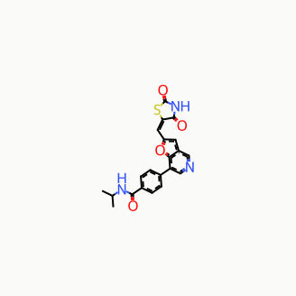 CC(C)NC(=O)c1ccc(-c2cncc3cc(C=C4SC(=O)NC4=O)oc23)cc1